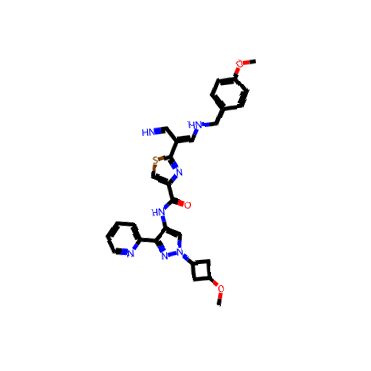 COc1ccc(CN/C=C(\C=N)c2nc(C(=O)Nc3cn(C4CC(OC)C4)nc3-c3ccccn3)cs2)cc1